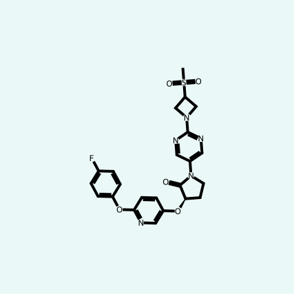 CS(=O)(=O)C1CN(c2ncc(N3CC[C@@H](Oc4ccc(Oc5ccc(F)cc5)nc4)C3=O)cn2)C1